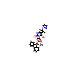 Cc1c(-n2cccn2)sc2[nH]c(=O)n(C(C)(C)C(=O)O[Si](c3ccccc3)(c3ccccc3)C(C)(C)C)c(=O)c12